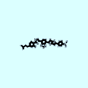 CC(C)CCc1ccc(-c2ncc(-c3ccc(-c4cc5sc(-c6ccc(N(C)C)cc6)cc5s4)c4nsnc34)s2)c(F)c1